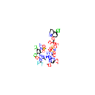 COc1cc(OC)nc(NC(=O)NS(=O)(=O)N(C)S(C)(=O)=O)n1.Cc1nn(-c2cc(NS(C)(=O)=O)c(Cl)cc2Cl)c(=O)n1C(F)F.O=C(O)COc1ccc(Cl)c2cccnc12